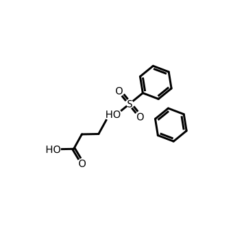 CCCC(=O)O.O=S(=O)(O)c1ccccc1.c1ccccc1